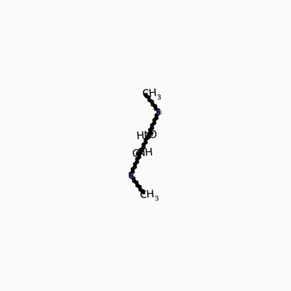 CCCCCCCC/C=C\CCCCCCCC(=O)NCCCCCCNC(=O)CCCCCCC/C=C\CCCCCCCC